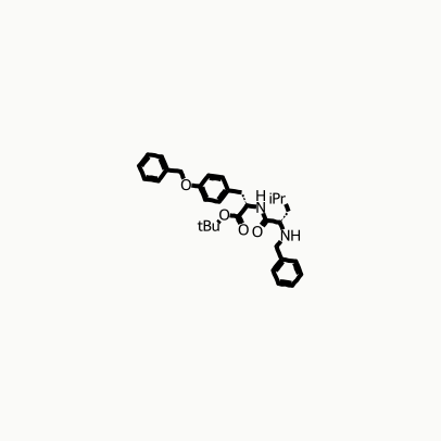 CC(C)C[C@H](NCc1ccccc1)C(=O)N[C@@H](Cc1ccc(OCc2ccccc2)cc1)C(=O)OC(C)(C)C